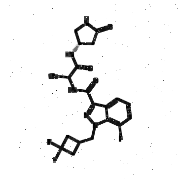 CC(C)(C)C(NC(=O)c1nn(CC2CC(F)(F)C2)c2c(F)cccc12)C(=O)N[C@@H]1CNC(=O)C1